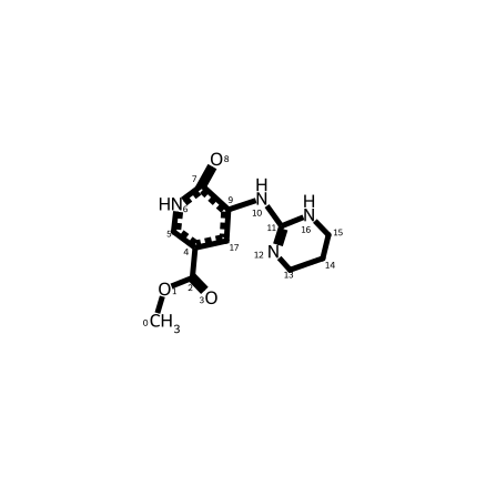 COC(=O)c1c[nH]c(=O)c(NC2=NCCCN2)c1